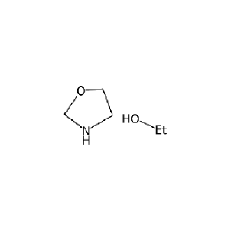 C1COCN1.CCO